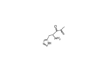 C=C(C)C(=O)C(N)Cc1cnc[nH]1